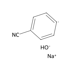 N#Cc1cc[c]cc1.[Na+].[OH-]